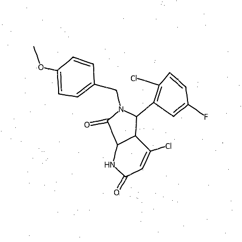 COc1ccc(CN2C(=O)C3NC(=O)C=C(Cl)C3C2c2cc(F)ccc2Cl)cc1